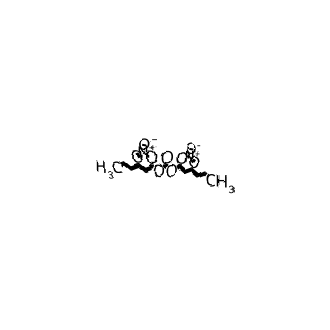 CCCCCC(OC(=O)OC(CCCCC)O[N+](=O)[O-])O[N+](=O)[O-]